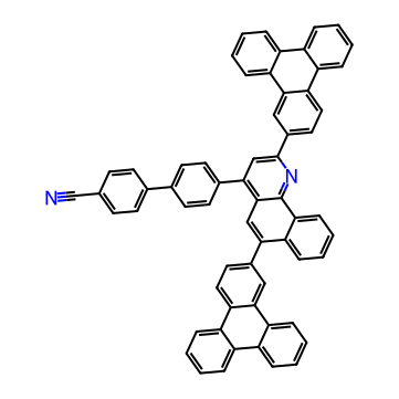 N#Cc1ccc(-c2ccc(-c3cc(-c4ccc5c6ccccc6c6ccccc6c5c4)nc4c3cc(-c3ccc5c6ccccc6c6ccccc6c5c3)c3ccccc34)cc2)cc1